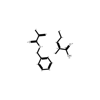 C=C(C)C(=O)OCc1ccccc1.CCC=C(C)C(=O)O